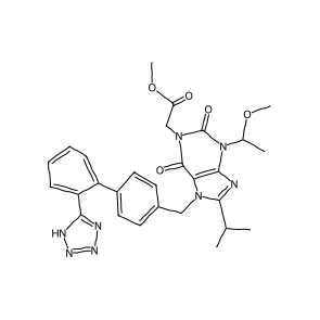 COC(=O)Cn1c(=O)c2c(nc(C(C)C)n2Cc2ccc(-c3ccccc3-c3nnn[nH]3)cc2)n(C(C)OC)c1=O